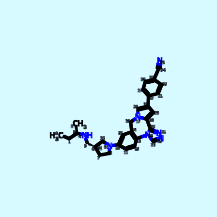 CC[C@@H](C)NC[C@H]1CCN(c2ccc3c(c2)Cn2cc(-c4ccc(C#N)cc4)cc2-c2nncn2-3)C1